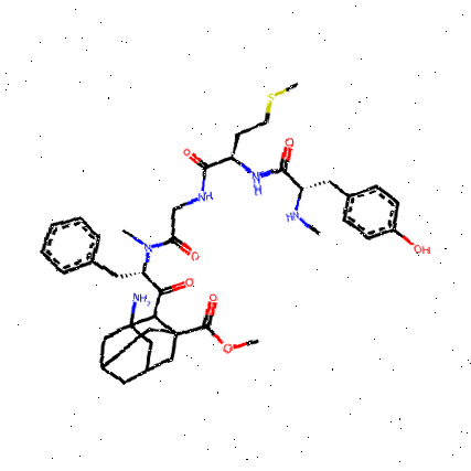 CN[C@@H](Cc1ccc(O)cc1)C(=O)N[C@H](CCSC)C(=O)NCC(=O)N(C)[C@@H](Cc1ccccc1)C(=O)C1C2(N)CC3CC(C2)CC1(C(=O)OC)C3